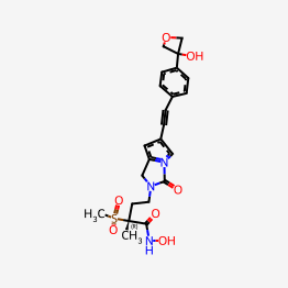 C[C@@](CCN1Cc2cc(C#Cc3ccc(C4(O)COC4)cc3)cn2C1=O)(C(=O)NO)S(C)(=O)=O